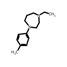 CCN1CCCN(c2ccc(C)cc2)CC1